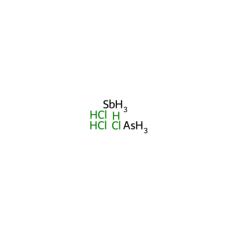 Cl.Cl.Cl.[AsH3].[SbH3]